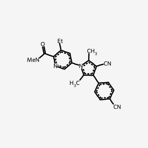 CCc1cc(-n2c(C)c(C#N)c(-c3ccc(C#N)cc3)c2C)cnc1C(=O)NC